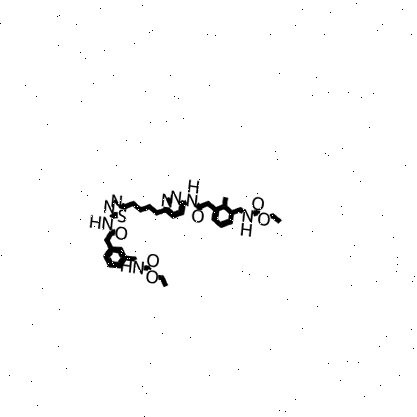 CCOC(=O)NCc1cccc(CC(=O)Nc2nnc(CCCCc3ccc(NC(=O)CC4=CC=CC(CNC(=O)OCC)C4C)nn3)s2)c1